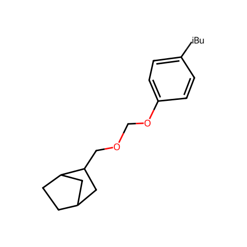 CCC(C)c1ccc(OCOCC2CC3CCC2C3)cc1